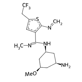 C=Nc1sc(CC(F)(F)F)cc1/C(=N\C)N[C@H]1C[C@@H](N)C[C@@H](OC)C1